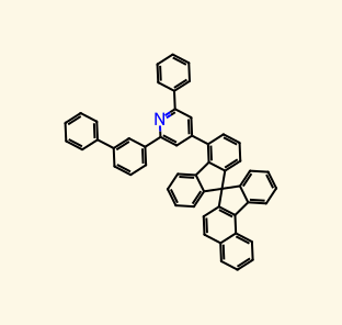 c1ccc(-c2cccc(-c3cc(-c4cccc5c4-c4ccccc4C54c5ccccc5-c5c4ccc4ccccc54)cc(-c4ccccc4)n3)c2)cc1